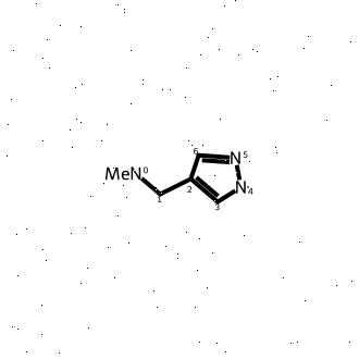 CNCC1=C[N]N=C1